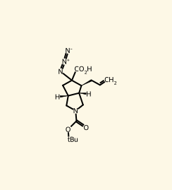 C=CC[C@H]1[C@@H]2CN(C(=O)OC(C)(C)C)C[C@@H]2CC1(N=[N+]=[N-])C(=O)O